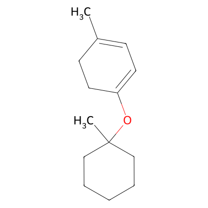 CC1=CC=C(OC2(C)CCCCC2)CC1